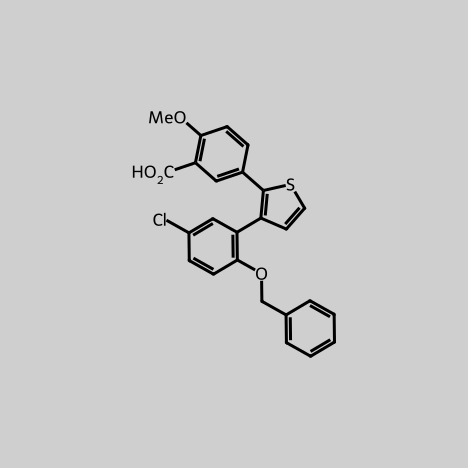 COc1ccc(-c2sccc2-c2cc(Cl)ccc2OCc2ccccc2)cc1C(=O)O